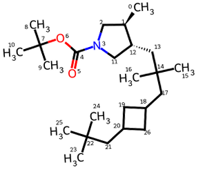 C[C@@H]1CN(C(=O)OC(C)(C)C)C[C@H]1CC(C)(C)CC1CC(CC(C)(C)C)C1